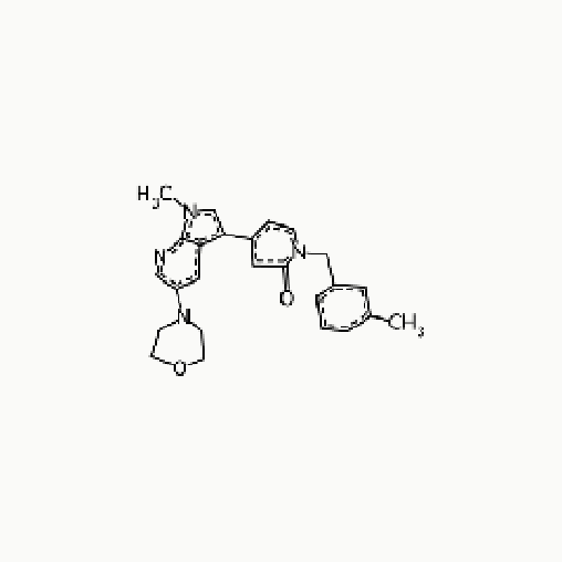 Cc1cccc(Cn2ccc(-c3cn(C)c4ncc(N5CCOCC5)cc34)cc2=O)c1